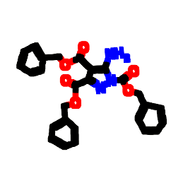 Nc1c(C(=O)OCc2ccccc2)c(C(=O)OCc2ccccc2)nn1C(=O)OCc1ccccc1